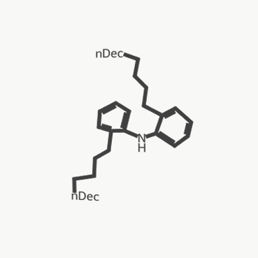 CCCCCCCCCCCCCCc1ccccc1Nc1ccccc1CCCCCCCCCCCCCC